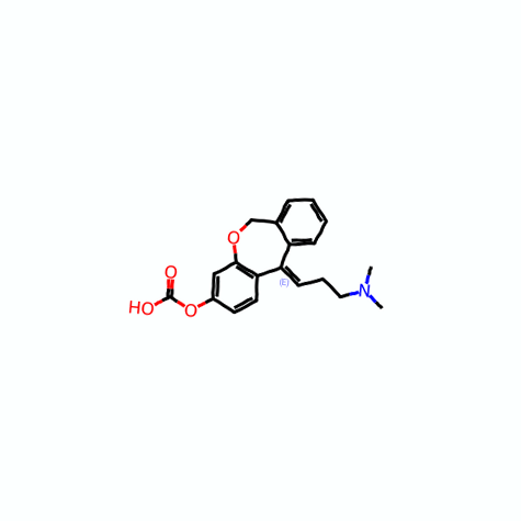 CN(C)CC/C=C1\c2ccccc2COc2cc(OC(=O)O)ccc21